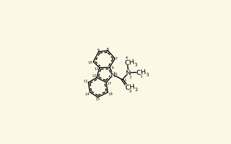 C=C(N(C)C)n1c2ccccc2c2ccccc21